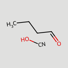 CCCC=O.N#CO